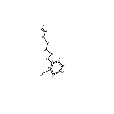 [CH]=CCCCCCc1ccccc1C